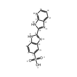 O=S(=O)(O)c1ccc2[nH]c(-c3nc4cccnc4[nH]3)nc2c1